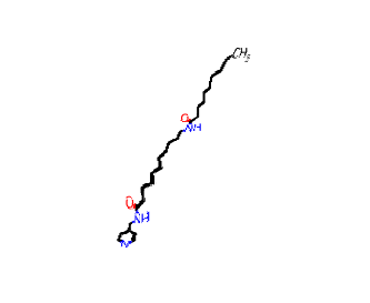 CCCCCCCCCC(=O)NCCCCCCCCCCC(=O)NCc1ccncc1